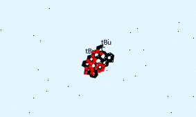 CC(C)(C)c1cc(-c2cccc3cccc(-c4ccccc4N(c4ccccc4-c4ccccc4-c4ccccc4-c4ccccc4)c4cccc5sc6ccccc6c45)c23)cc(C(C)(C)C)c1